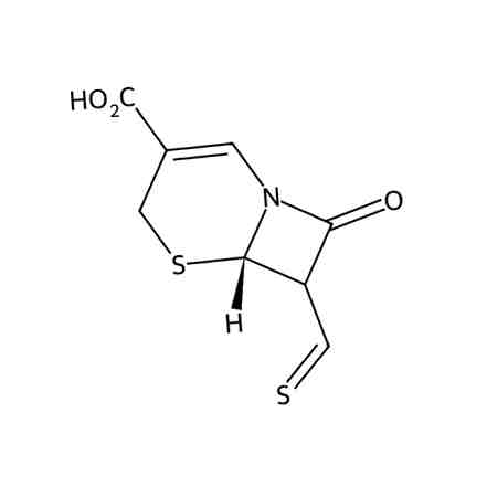 O=C(O)C1=CN2C(=O)C(C=S)[C@@H]2SC1